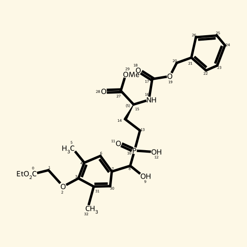 CCOC(=O)COc1c(C)cc(C(O)P(=O)(O)CC[C@H](NC(=O)OCc2ccccc2)C(=O)OC)cc1C